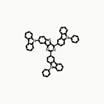 c1ccc(-n2c3ccccc3c3cc(-c4nc(-c5ccc6c(c5)c5ccccc5n6-c5ccccc5)c5sc6ccc(-n7c8ccccc8c8ccccc87)cc6c5n4)ccc32)cc1